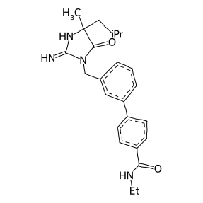 CCNC(=O)c1ccc(-c2cccc(CN3C(=N)NC(C)(CC(C)C)C3=O)c2)cc1